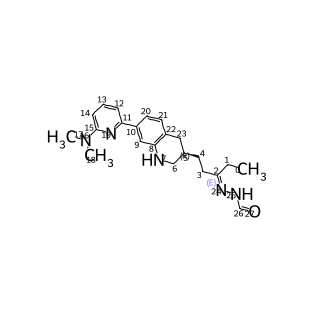 CC/C(CC[C@H]1CNc2cc(-c3cccc(N(C)C)n3)ccc2C1)=N\NC=O